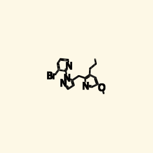 CCCc1cc(OC)cnc1Cc1ccnn1-c1ncccc1Br